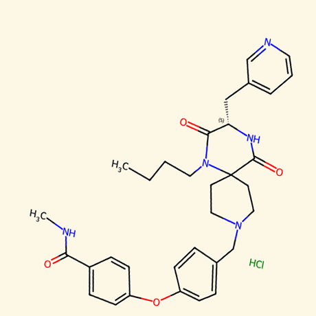 CCCCN1C(=O)[C@H](Cc2cccnc2)NC(=O)C12CCN(Cc1ccc(Oc3ccc(C(=O)NC)cc3)cc1)CC2.Cl